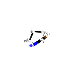 CCC[CH2][Sn][CH2]CCC.N=C=S